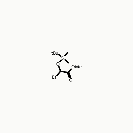 CCC(O[Si](C)(C)C(C)(C)C)C(=O)OC